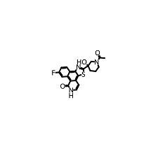 CC(=O)N1CCCC(O)(c2nc3c4ccc(F)cc4c4c(=O)[nH]ccc4c3s2)C1